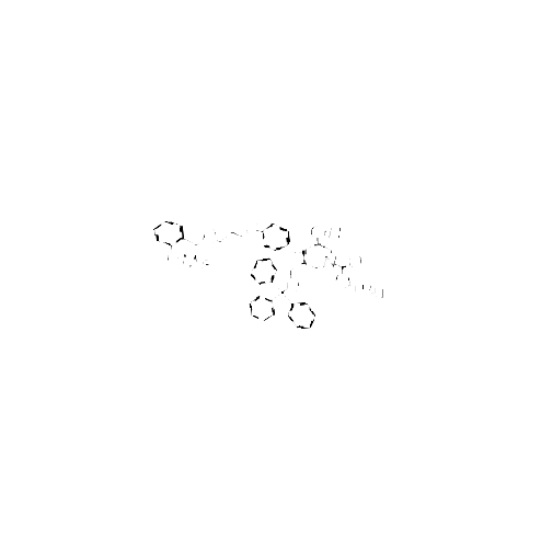 COc1ccccc1COCCCOc1ccc([C@H]2[C@H](COC(c3ccccc3)(c3ccccc3)c3ccccc3)CN(C(=O)OC(C)(C)C)C[C@@H]2O)cc1